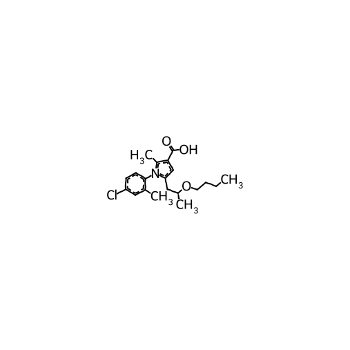 CCCCO[C@@H](C)Cc1cc(C(=O)O)c(C)n1-c1ccc(Cl)cc1C